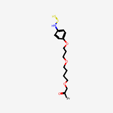 CC(C)C(=O)COCCCCOCCCOc1ccc(NSS)cc1